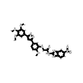 COc1ccc(-c2cc(-c3cc(OC)c(OC)c(OC)c3)no2)cc1OCC(=O)Nc1nc2ccc([N+](=O)[O-])cc2s1